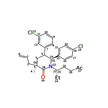 C=CC[C@@]1(C)CC(c2cccc(Cl)c2)[C@@H](c2ccc(Cl)cc2)N([C@@H](CC)CCC(C)=O)C1=O